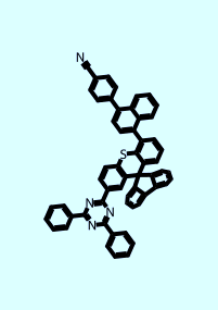 N#Cc1ccc(-c2ccc(-c3cccc4c3Sc3ccc(-c5nc(-c6ccccc6)nc(-c6ccccc6)n5)cc3C43c4ccccc4-c4ccccc43)c3ccccc23)cc1